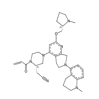 C=CC(=O)N1CCN(c2cc(OC[C@@H]3CCCN3C)nc3c2CCN(c2cccc4c2CCCN4C)C3)C[C@@H]1CC#N